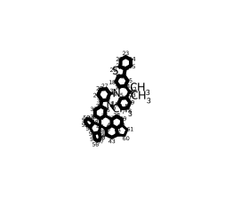 Cn1c2c(N3c4ccccc4C(C)(C)c4cc5c(cc43)sc3ccccc35)cccc2c2ccc3c(c21)-c1ccc2c4c(ccc(c14)C31c3ccccc3-c3ccccc31)CC2